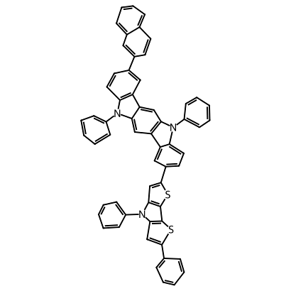 c1ccc(-c2cc3c(s2)c2sc(-c4ccc5c(c4)c4cc6c(cc4n5-c4ccccc4)c4cc(-c5ccc7ccccc7c5)ccc4n6-c4ccccc4)cc2n3-c2ccccc2)cc1